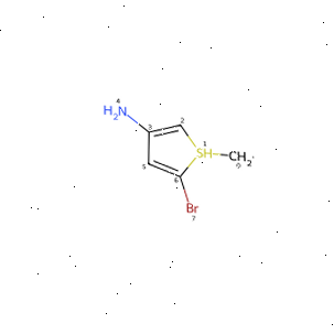 [CH2][SH]1C=C(N)C=C1Br